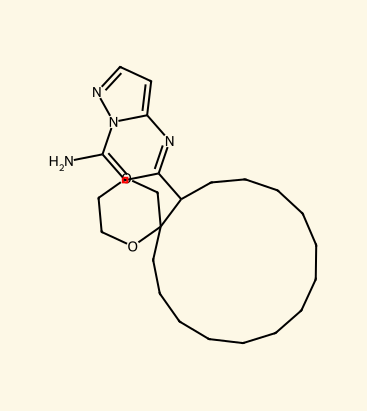 Nc1cc(C2CCCCCCCCCCCCCC23COCCO3)nc2ccnn12